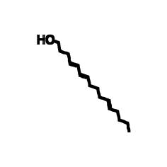 CCCC/C=C/CCC/C=C/C=C/CCCO